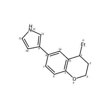 CCC1CCOc2ccc(-c3cc[nH]c3)cc21